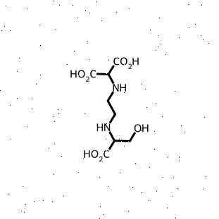 O=C(O)C(CO)NCCNC(C(=O)O)C(=O)O